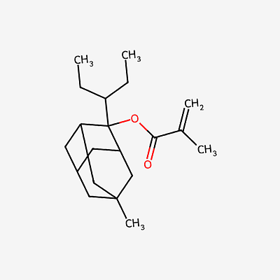 C=C(C)C(=O)OC1(C(CC)CC)C2CC3CC1CC(C)(C3)C2